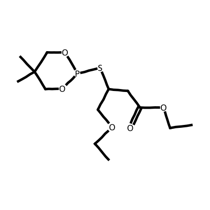 CCOCC(CC(=O)OCC)SP1OCC(C)(C)CO1